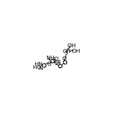 N=C1C=C(COc2cc(OCc3cccc(-c4cccc(OCCCC(=O)N(CCO)CCO)c4)c3F)c(Cl)cc2CN)C=C/C1=N/O